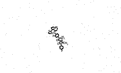 Cc1c(C(=O)Nc2ccc(Oc3ccnn4ccc(-c5nccs5)c34)c(F)c2)c(=O)n(-c2ccc(F)cc2)n1C